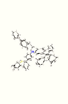 c1ccc(-c2ccc3cc(N(c4ccc(-c5cccc6c5sc5ccccc56)cc4)c4ccc5c(c4)c(-c4ccccc4)c(-c4ccccc4)c4ccccc45)ccc3c2)cc1